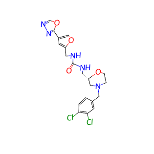 O=C(NCc1cc(-c2nnco2)co1)NC[C@H]1CN(Cc2ccc(Cl)c(Cl)c2)CCO1